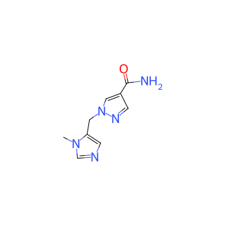 Cn1cncc1Cn1cc(C(N)=O)cn1